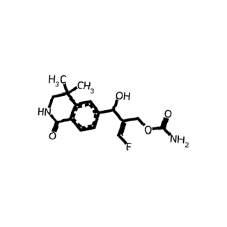 CC1(C)CNC(=O)c2ccc(C(O)C(=CF)COC(N)=O)cc21